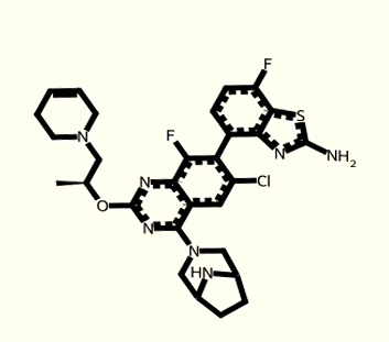 C[C@@H](CN1CC=CCC1)Oc1nc(N2CC3CCC(C2)N3)c2cc(Cl)c(-c3ccc(F)c4sc(N)nc34)c(F)c2n1